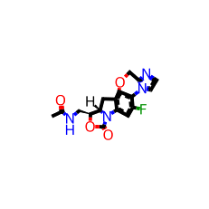 CC(=O)NC[C@@H]1OC(=O)N2c3cc(F)c4c(c3C[C@@H]12)OCc1nccn1-4